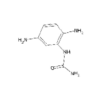 NC(=O)Nc1cc(N)ccc1N